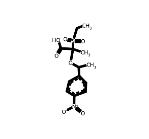 CCS(=O)(=O)C(C)(OC(C)c1ccc([N+](=O)[O-])cc1)C(=O)O